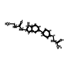 CCNC(=O)Nc1nc2cc(-c3ccc(CNC(C)=O)cc3)ccc2[nH]1